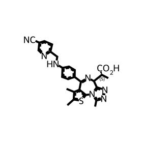 Cc1sc2c(c1C)C(c1ccc(NCc3ccc(C#N)cn3)cc1)=NC([C@H](C)C(=O)O)c1nnc(C)n1-2